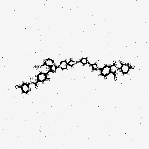 Nc1nccn2c(N3CCC4(CC3)CN(C3CCN(C5CN(c6ccc7c(c6)C(=O)N(C6CCC(=O)NC6=O)C7=O)C5)C3)C4)nc(-c3ccc(C(=O)Nc4cc(Cl)ccn4)cc3F)c12